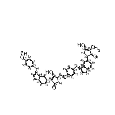 COc1ccc(Cn2ccc3ccc(C4=C(O)C(COc5ccc(Cn6ccc7ccc(C8CC(O)=C(C)C8=O)cc76)cc5)CC4=O)cc32)cc1